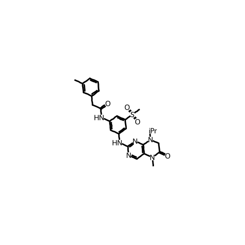 Cc1cccc(CC(=O)Nc2cc(Nc3ncc4c(n3)N(C(C)C)CC(=O)N4C)cc(S(C)(=O)=O)c2)c1